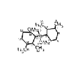 CO[Si](OC)(C1CCCC(C)C1C)C1CCCC(C)C1C